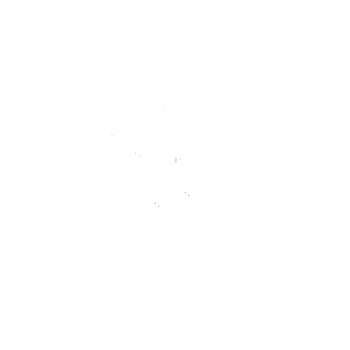 CC(C)C(CN(CN)C(=O)Cc1ccccc1)c1nc2cc(Cl)ccc2c(=O)n1Cc1ccccc1